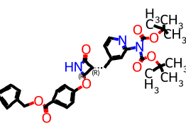 CC(C)(C)OC(=O)N(C(=O)OC(C)(C)C)c1cc(C[C@H]2C(=O)N[C@@H]2Oc2ccc(C(=O)OCc3ccccc3)cc2)ccn1